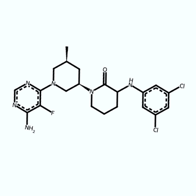 C[C@H]1C[C@@H](N2CCCC(Nc3cc(Cl)cc(Cl)c3)C2=O)CN(c2ncnc(N)c2F)C1